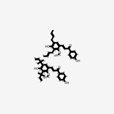 C/C=C/Cc1cc(/C=C/C(=O)c2ccc(O)cc2)c(OCCC)c(C/C=C/C)c1O.C=CC(C)(C)c1cc(/C=C/C(=O)c2ccc(O)cc2)c(OCCC)c(C(C)(C)C=C)c1O